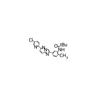 Cc1ccc(-c2cn3nc(-c4ccc(Cl)cn4)ccc3n2)cc1NC(=O)C(C)(C)C